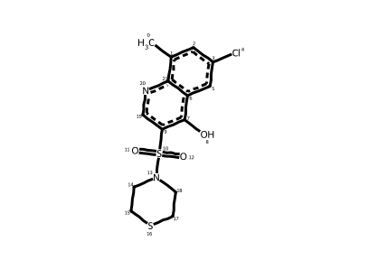 Cc1cc(Cl)cc2c(O)c(S(=O)(=O)N3CCSCC3)cnc12